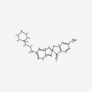 O=C1c2ccc(O)cc2CC12C=C1CC=C(OCCN3CCCCC3)C=C1C2